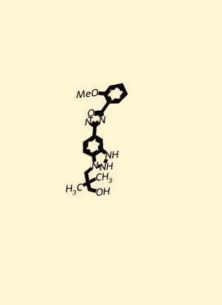 COc1ccccc1-c1nc(-c2ccc3c(c2)NNN3CC(C)(C)CO)no1